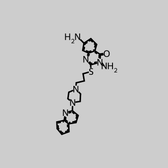 Nc1ccc2c(=O)n(N)c(SCCCN3CCN(c4ccc5ccccc5n4)CC3)nc2c1